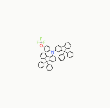 FC(F)(F)Oc1ccc(N(c2ccc3c(c2)C(c2ccccc2)(c2ccccc2)c2ccccc2-3)c2cccc3c2-c2ccccc2C3(c2ccccc2)c2ccccc2)cc1